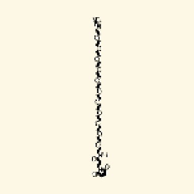 [N-]=[N+]=NCCOCCOCCOCCOCCOCCOCCOCCOCCOCCOCCOCCNC(=O)CCN1C(=O)C=CC1=O